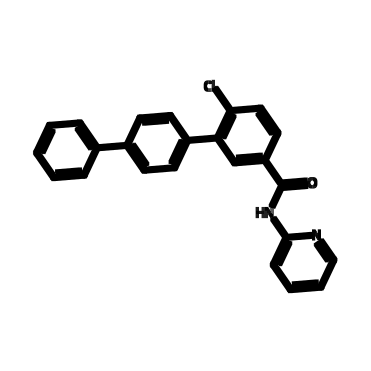 O=C(Nc1ccccn1)c1ccc(Cl)c(-c2ccc(-c3ccccc3)cc2)c1